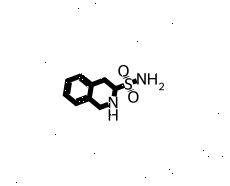 NS(=O)(=O)C1Cc2ccccc2CN1